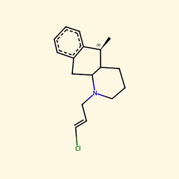 C[C@@H]1c2ccccc2CC2C1CCCN2CC=CCl